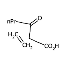 C=C.CCCC(=O)CC(=O)O